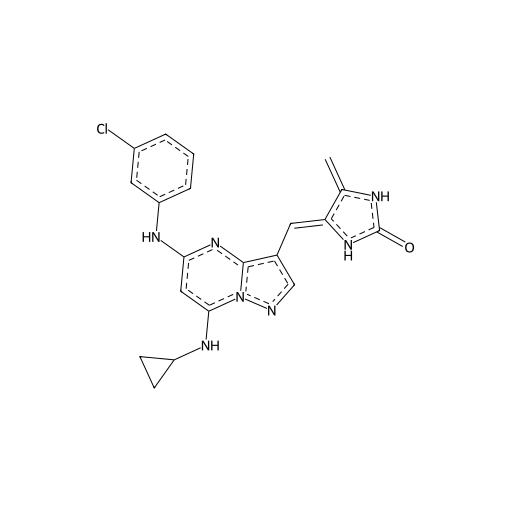 C=c1[nH]c(=O)[nH]/c1=C\c1cnn2c(NC3CC3)cc(Nc3cccc(Cl)c3)nc12